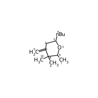 C=C1CC(CCCC)OC(C)C1(C)C